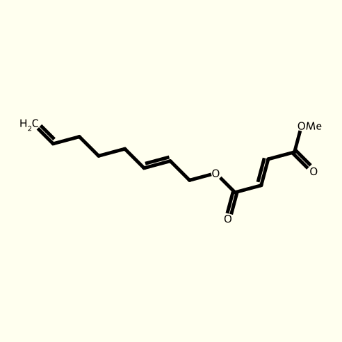 C=CCCCC=CCOC(=O)C=CC(=O)OC